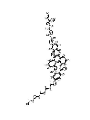 C=CCOCCCCCCOc1ccc(C(=O)Oc2cccc(-c3nc4ccc(OCCOCCOC(=O)C=C)cc4nc3-c3cccc(OC)c3)c2)cc1